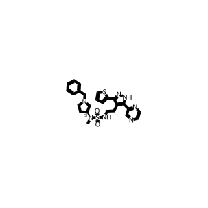 CN([C@H]1CCN(Cc2ccccc2)C1)S(=O)(=O)NCCc1c(-c2cccs2)n[nH]c1-c1cnccn1